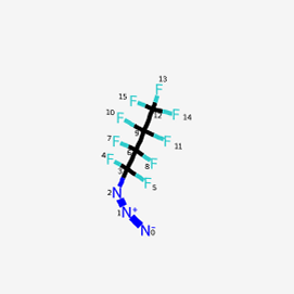 [N-]=[N+]=NC(F)(F)C(F)(F)C(F)(F)C(F)(F)F